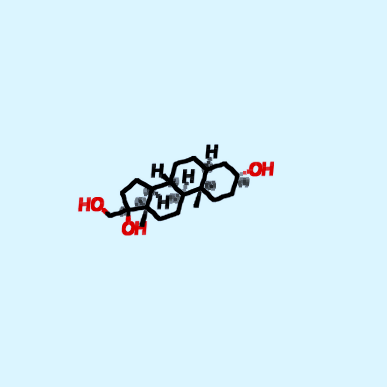 C[C@]12CC[C@@H](O)C[C@@H]1CC[C@@H]1[C@@H]2CC[C@@]2(C)[C@H]1CC[C@@]2(O)CO